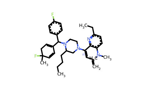 C=C/C=C(\c1nc(CC)ccc1N(C)C)N1CCN(C(C2=CCC(C)(F)C=C2)c2ccc(F)cc2)C(CCCC)C1